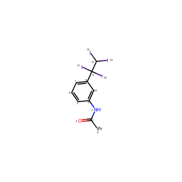 CC(C)C(=O)Nc1cccc(C(I)(I)C(I)I)c1